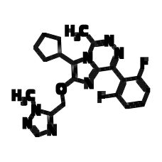 Cc1nnc(-c2c(F)cccc2F)c2nc(OCc3ncnn3C)c(C3CCCC3)n12